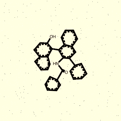 O=C(Nc1c(-c2ccccc2)cc2ccccc2c1-c1c(O)ccc2ccccc12)c1ccccc1